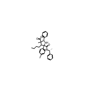 CCCCC1C(C(=O)N[C@H](C)c2ccccc2)(c2ccc(F)cc2)NN(c2ccccc2)C1(C)C(=O)O